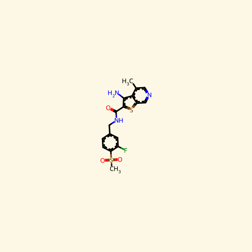 Cc1cncc2sc(C(=O)NCc3ccc(S(C)(=O)=O)c(F)c3)c(N)c12